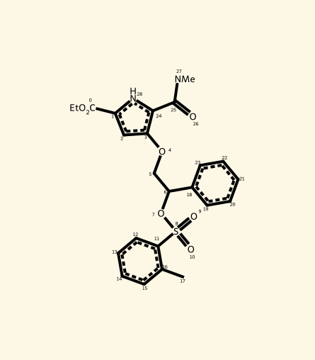 CCOC(=O)c1cc(OCC(OS(=O)(=O)c2ccccc2C)c2ccccc2)c(C(=O)NC)[nH]1